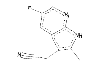 Cc1[nH]c2ncc(F)cc2c1CC#N